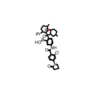 CC1CCC(C(C)C)C(C2(C3CC(C)CCC3C(C)C)OB(O)c3cc(NC(=O)c4ccc(N5CCCC5=O)cc4Cl)ccc32)C1